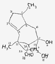 CC1CC=C2C1CC1(O)C(O)CC2(C)C1(C)C=O